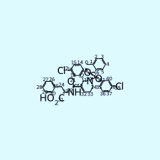 Cc1ccccc1S(=O)(=O)N1[C@@H](c2cccc(Cl)c2)C(C(=O)N[C@@H](Cc2ccccc2)C(=O)O)=CC[C@H]1c1ccc(Cl)cc1